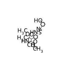 CCOC(=O)C1=C(C)NC(C)=C(C(=O)OCC)C1c1cccc(Nc2nc(-c3cccc(O)c3)cs2)c1